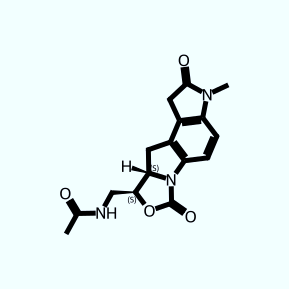 CC(=O)NC[C@@H]1OC(=O)N2c3ccc4c(c3C[C@@H]12)CC(=O)N4C